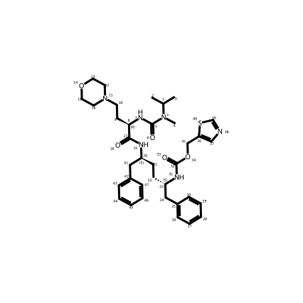 CC(C)N(C)C(=O)N[C@H](CCN1CCOCC1)C(=O)N[C@@H](CC[C@@H](Cc1ccccc1)NC(=O)OCc1cncs1)Cc1ccccc1